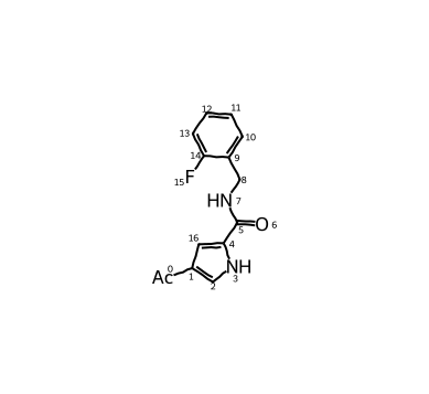 CC(=O)c1c[nH]c(C(=O)NCc2ccccc2F)c1